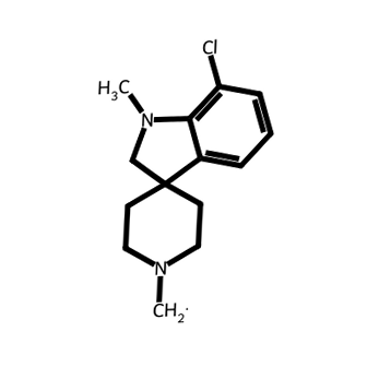 [CH2]N1CCC2(CC1)CN(C)c1c(Cl)cccc12